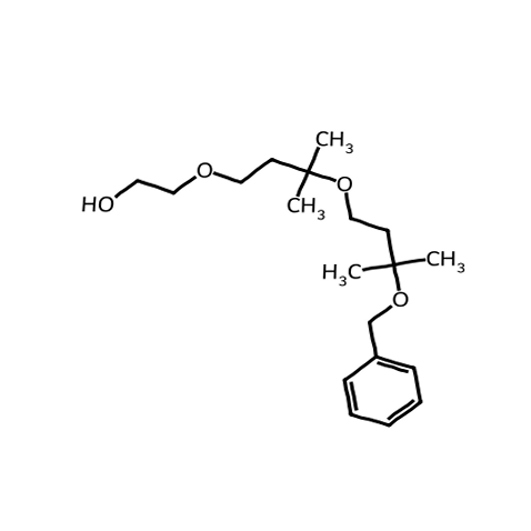 CC(C)(CCOCCO)OCCC(C)(C)OCc1ccccc1